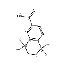 C=C(O)c1ccc2c(c1)C(C)(C)CCC2(C)C